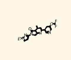 CCN1CCC(N2CC3=NC(C4C=NCC(OC(F)F)C4)CC(C)C3C2=O)=N1